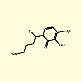 CCCCCCCCCCCCCC(CC)C1C=CC(C(=O)O)=C(C(=O)O)C1=O